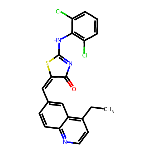 CCc1ccnc2ccc(C=C3SC(Nc4c(Cl)cccc4Cl)=NC3=O)cc12